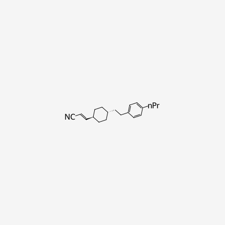 CCCc1ccc(CC[C@H]2CC[C@H](C=CC#N)CC2)cc1